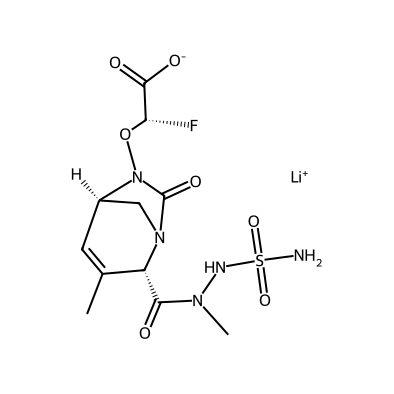 CC1=C[C@@H]2CN(C(=O)N2O[C@@H](F)C(=O)[O-])[C@@H]1C(=O)N(C)NS(N)(=O)=O.[Li+]